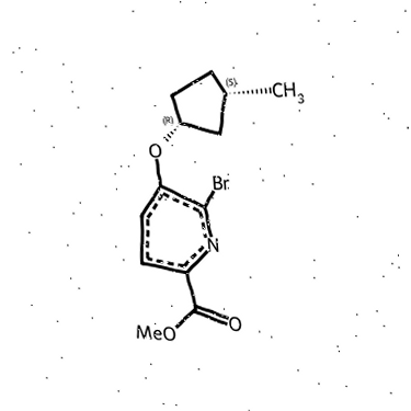 COC(=O)c1ccc(O[C@@H]2CC[C@H](C)C2)c(Br)n1